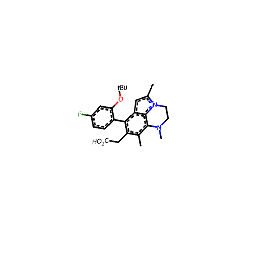 Cc1c(CC(=O)O)c(-c2ccc(F)cc2OC(C)(C)C)c2cc(C)n3c2c1N(C)CC3